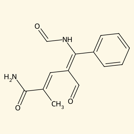 C/C(=C\C(C=O)=C(/NC=O)c1ccccc1)C(N)=O